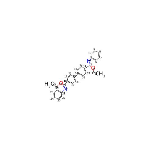 CCO/C(=N\c1ccccc1)c1ccc(-c2ccc(/C(=N/c3ccccc3)OCC)cc2)cc1